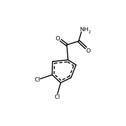 NC(=O)C(=O)c1ccc(Cl)c(Cl)c1